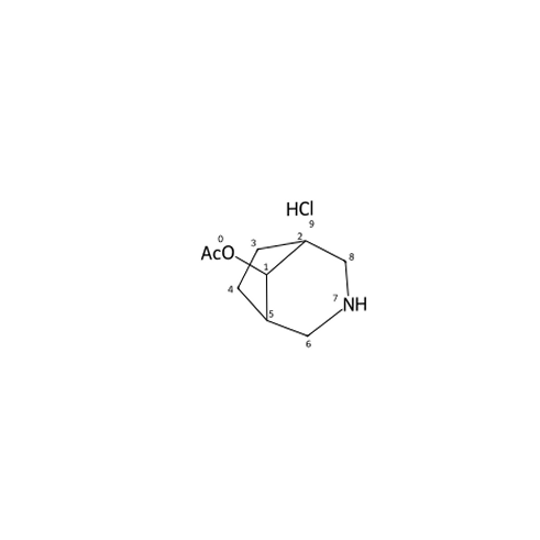 CC(=O)OC1C2CCC1CNC2.Cl